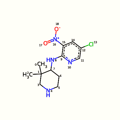 CC1(C)CNCCC1Nc1ncc(Cl)cc1[N+](=O)[O-]